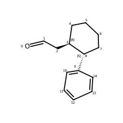 O=CC[C@H]1CCCC[C@@H]1c1ccccc1